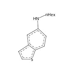 CCCCCCNc1ccc2sccc2c1